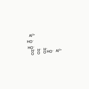 [Al+3].[Al+3].[OH-].[OH-].[OH-].[OH-].[OH-].[OH-]